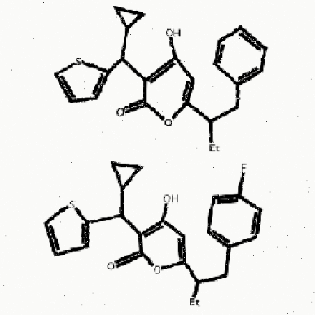 CCC(Cc1ccc(F)cc1)c1cc(O)c(C(c2cccs2)C2CC2)c(=O)o1.CCC(Cc1ccccc1)c1cc(O)c(C(c2cccs2)C2CC2)c(=O)o1